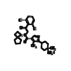 CC1(C(=O)O)CCC(n2ncc(C(=O)N(CC(=O)c3c(Cl)cccc3Cl)[C@H]3CCC34CCCC4)c2C(F)(F)F)CC1